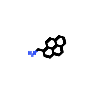 NCc1ccc2ccc3cccc4ccc1c2c34